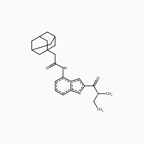 CCN(C)C(=O)c1cn2c(NC(=O)CC34CC5CC(CC(C5)C3)C4)cccc2n1